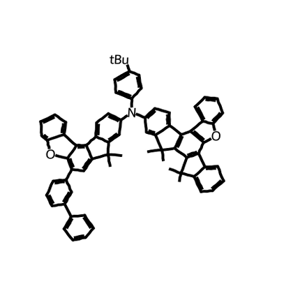 CC(C)(C)c1ccc(N(c2ccc3c(c2)C(C)(C)c2cc(-c4cccc(-c5ccccc5)c4)c4oc5ccccc5c4c2-3)c2ccc3c(c2)C(C)(C)c2c4c(c5oc6ccccc6c5c2-3)-c2ccccc2C4(C)C)cc1